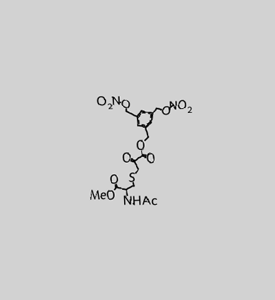 COC(=O)[C@@H](CSCC(=O)C(=O)OCc1cc(CO[N+](=O)[O-])cc(CO[N+](=O)[O-])c1)NC(C)=O